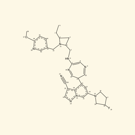 CCC1CC(CNC2=CN=CC(c3cc(N4CCC(F)C4)cn4ncc(C#N)c34)C=N2)N1Cc1ccc(OC)nc1